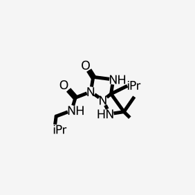 CC(C)CNC(=O)N1C(=O)NC2(C(C)C)N1NC2(C)C